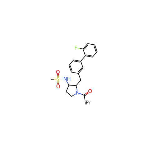 CC(C)C(=O)N1CCC(NS(C)(=O)=O)C1Cc1cccc(-c2ccccc2F)c1